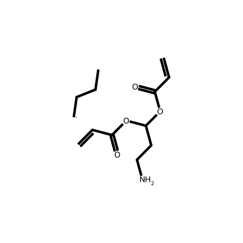 C=CC(=O)OC(CCN)OC(=O)C=C.[CH2]CCC